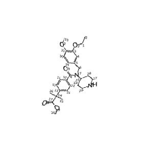 CCOc1cc(CN(C(=O)c2ccc(C(C)(C)C(=O)OC)cc2)C2CCNCC2)ccc1OC